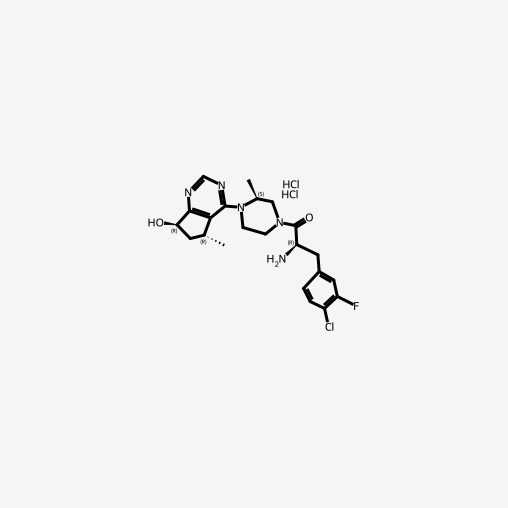 C[C@@H]1C[C@@H](O)c2ncnc(N3CCN(C(=O)[C@H](N)Cc4ccc(Cl)c(F)c4)C[C@@H]3C)c21.Cl.Cl